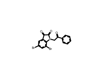 O=C(CN1C(=O)C(=O)c2cc(Br)cc(Br)c21)c1ccccc1